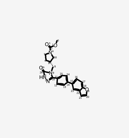 COC(=O)N1CC[C@@H](Cn2c(-c3ccc(-c4ccc5occc5c4)cc3)n[nH]c2=O)C1